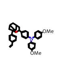 C=Cc1ccc(C23CC4CC(C2)CC(c2ccc(N(c5ccc(OC)cc5)c5ccc(OC)cc5)cc2)(C4)C3)cc1